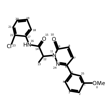 COc1cccc(-c2ccc(=O)n(C(C)C(=O)Nc3ccccc3Cl)n2)c1